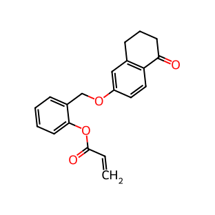 C=CC(=O)Oc1ccccc1COc1ccc2c(c1)CCCC2=O